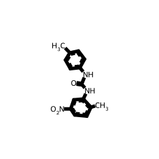 Cc1ccc(NC(=O)Nc2cc([N+](=O)[O-])ccc2C)cc1